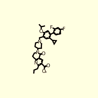 CCCc1nc2c(cc1C(=O)OC)C(=O)N(C1CCN(Cc3cc(C4CC4)c(-c4ccc(F)cc4F)cc3OC(C)C)CC1)CC2